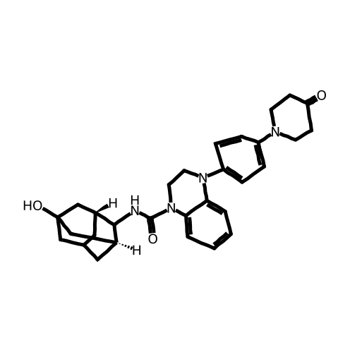 O=C1CCN(c2ccc(N3CCN(C(=O)NC4[C@@H]5CC6C[C@H]4CC(O)(C6)C5)c4ccccc43)cc2)CC1